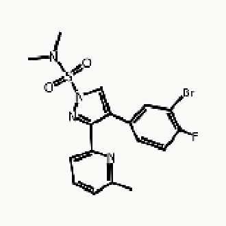 Cc1cccc(-c2nn(S(=O)(=O)N(C)C)cc2-c2ccc(F)c(Br)c2)n1